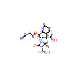 C[C@@H](O)[C@H]1C(=O)N2CC(C(=O)O)(c3cccnc3C(=O)OCCC#N)S[C@H]12